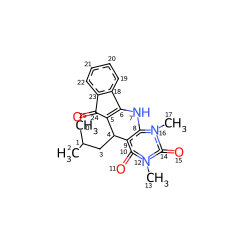 CC(C)CC1C2=C(Nc3c1c(=O)n(C)c(=O)n3C)c1ccccc1C2=O